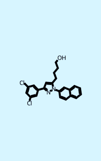 OCCCCc1cc(-c2cc(Cl)cc(Cl)c2)nn1-c1ccc2ccccc2c1